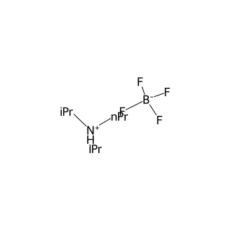 CCC[NH+](C(C)C)C(C)C.F[B-](F)(F)F